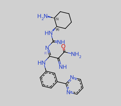 N=C(/N=C(/Nc1cccc(-c2ncccn2)c1)C(=N)C(N)=O)N[C@@H]1CCCC[C@@H]1N